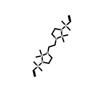 C=CS(C)(C)N1CCN(CCN2CCN(S(C)(C)C=C)S2(C)C)S1(C)C